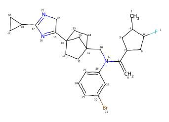 C=C(C1CC(C)C(F)C1)N(CC12CCC(C3=NC(C4CC4)=NC3)(CC1)C2)c1cccc(Br)c1